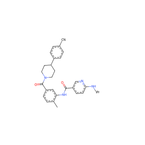 Cc1ccc(C(=O)N2CCC(c3ccc(C#N)cc3)CC2)cc1NC(=O)c1ccc(NC(C)C)nc1